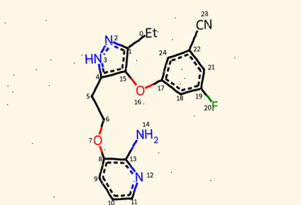 CCc1n[nH]c(CCOc2cccnc2N)c1Oc1cc(F)cc(C#N)c1